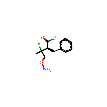 CC(F)(CON)C(=Cc1ccccc1)C(=O)Cl